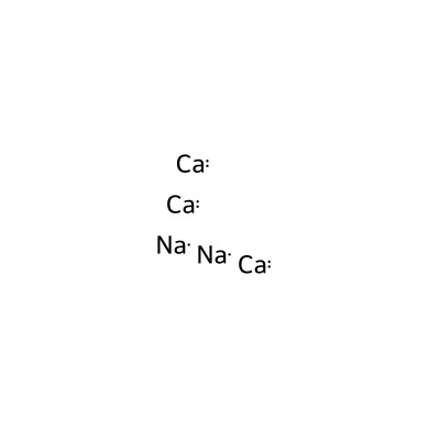 [Ca].[Ca].[Ca].[Na].[Na]